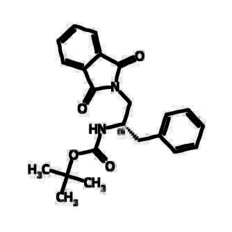 CC(C)(C)OC(=O)N[C@@H](Cc1ccccc1)CN1C(=O)c2ccccc2C1=O